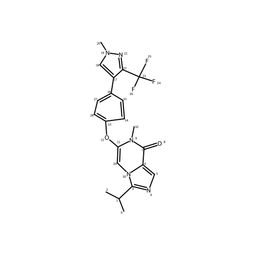 CC(C)c1ncc2c(=O)n(C)c(Oc3ccc(-c4cn(C)nc4C(F)(F)F)cc3)cn12